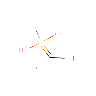 CC=P(O)(O)O.[PbH2]